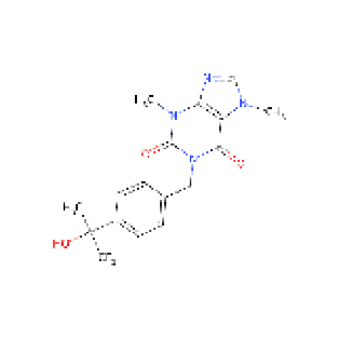 Cn1cnc2c1c(=O)n(Cc1ccc(C(C)(O)C(F)(F)F)cc1)c(=O)n2C